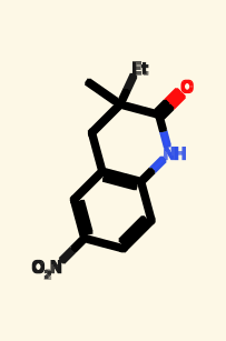 CCC1(C)Cc2cc([N+](=O)[O-])ccc2NC1=O